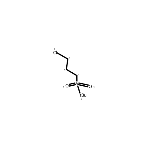 CC(C)(C)S(=O)(=O)CCCCl